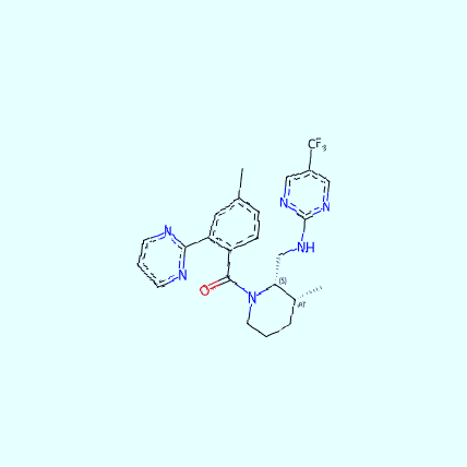 Cc1ccc(C(=O)N2CCC[C@@H](C)[C@H]2CNc2ncc(C(F)(F)F)cn2)c(-c2ncccn2)c1